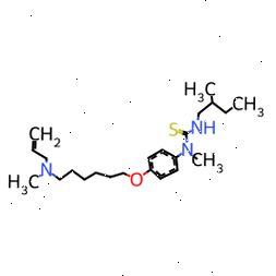 C=CCN(C)CCCCCCOc1ccc(N(C)C(=S)NCC(C)CC)cc1